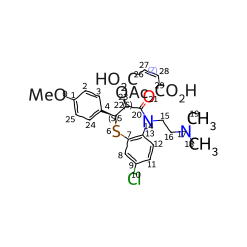 COc1ccc([C@@H]2Sc3cc(Cl)ccc3N(CCN(C)C)C(=O)[C@@H]2OC(C)=O)cc1.O=C(O)/C=C\C(=O)O